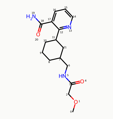 COCC(=O)NCC1CCCC(c2ncccc2C(N)=O)C1